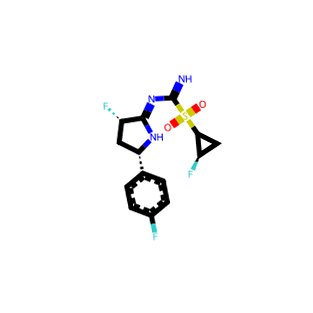 N=C(/N=C1\N[C@H](c2ccc(F)cc2)C[C@@H]1F)S(=O)(=O)C1C[C@H]1F